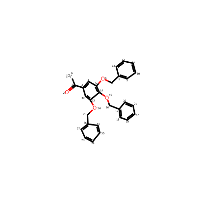 CC(C)C(=O)c1cc(OCc2ccccc2)c(OCc2ccccc2)c(OCc2ccccc2)c1